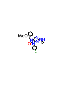 COc1ccccc1Cn1c(=O)n(-c2ccc(F)cc2)c2nc(NC3CC3)ncc21